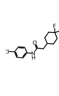 O=C(CC1CCC(F)(F)CC1)Nc1ccc(Cl)cc1